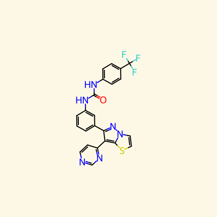 O=C(Nc1ccc(C(F)(F)F)cc1)Nc1cccc(-c2nn3ccsc3c2-c2ccncn2)c1